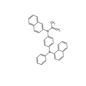 C=C(C)N(c1ccc(N(c2ccccc2)c2cccc3ccccc23)cc1)c1ccc2ccccc2c1